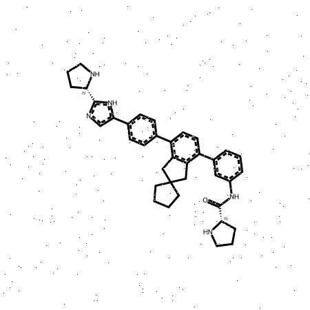 O=C(Nc1cccc(-c2ccc(-c3ccc(-c4cnc([C@@H]5CCCN5)[nH]4)cc3)c3c2CC2(CCCC2)C3)c1)[C@@H]1CCCN1